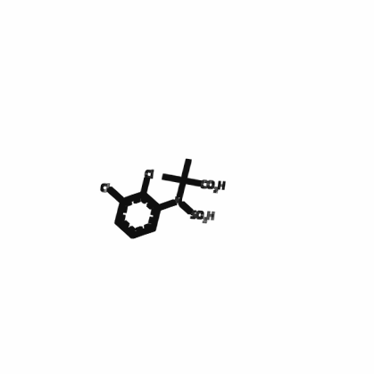 CC(C)(C(=O)O)N(c1cccc(Cl)c1Cl)S(=O)(=O)O